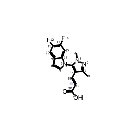 Cc1nn(C)c(-n2ccc3cc(F)c(F)cc32)c1/C=C/C(=O)O